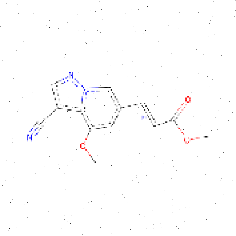 COC(=O)/C=C/c1cc(OC)c2c(C#N)cnn2c1